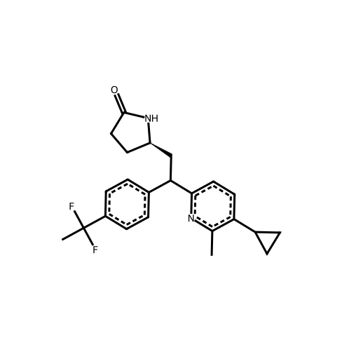 Cc1nc(C(C[C@H]2CCC(=O)N2)c2ccc(C(C)(F)F)cc2)ccc1C1CC1